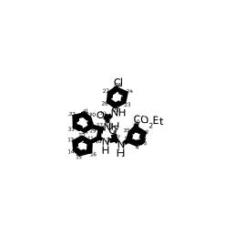 CCOC(=O)c1cccc(NC(=O)NC(c2ccccc2)C(NC(=O)Nc2ccc(Cl)cc2)c2ccccc2)c1